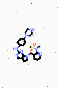 C[C@@H]1CN(c2ccc(Nc3ncc4ccn(Cc5cccnc5N(C)S(C)(=O)=O)c4n3)cc2)CCN1